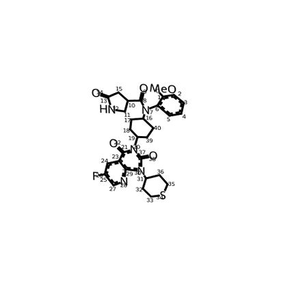 COc1ccccc1N(C(=O)C1CNC(=O)C1)C1CCC(n2c(=O)c3cc(F)cnc3n(C3CCSCC3)c2=O)CC1